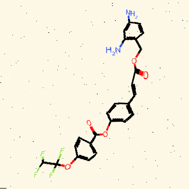 Nc1ccc(COC(=O)C=Cc2ccc(OC(=O)c3ccc(OC(F)(F)C(F)F)cc3)cc2)c(N)c1